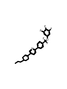 CCCC1CC=C(c2ccc(-c3ccc(C(F)(F)Oc4cc(F)c(F)c(F)c4)cc3)nc2)CC1